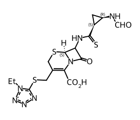 CCn1nnnc1SCC1=C(C(=O)O)N2C(=O)C(NC(=S)[C@H]3C[C@H]3NC=O)[C@@H]2SC1